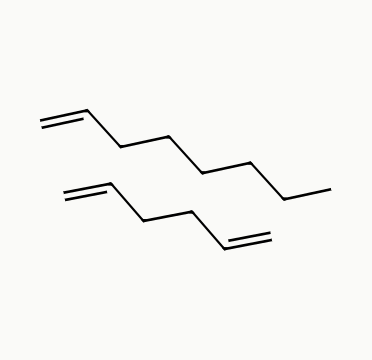 C=CCCC=C.C=CCCCCCC